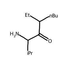 CCCCC(CC)C(=O)C(N)C(C)C